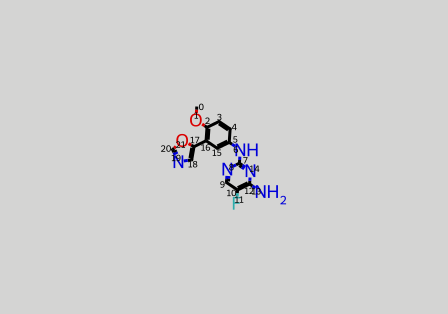 COc1ccc(Nc2ncc(F)c(N)n2)cc1-c1cnco1